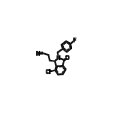 N#CCCC1c2c(Cl)cccc2C(=O)N1Cc1ccc(F)cc1